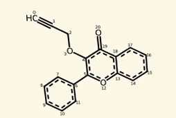 C#CCOc1c(-c2ccccc2)oc2ccccc2c1=O